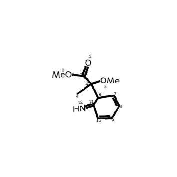 COC(=O)C(C)(OC)C1C=CC=CC1=N